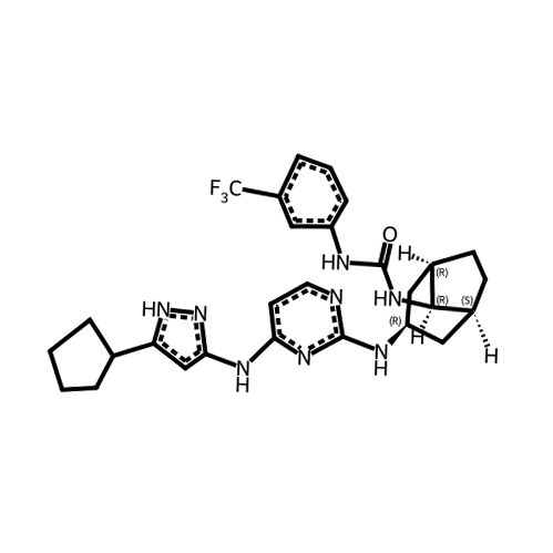 O=C(Nc1cccc(C(F)(F)F)c1)N[C@H]1[C@@H]2CC[C@H]1C[C@@H](Nc1nccc(Nc3cc(C4CCCC4)[nH]n3)n1)C2